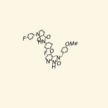 COc1ccc(CN2Cc3c(Oc4ccc(NC(=O)c5cccn(-c6ccc(F)cc6)c5=O)cc4F)ccnc3NC2=O)cc1